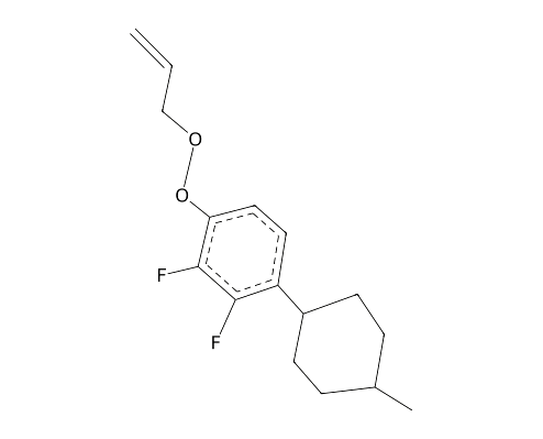 C=CCOOc1ccc(C2CCC(C)CC2)c(F)c1F